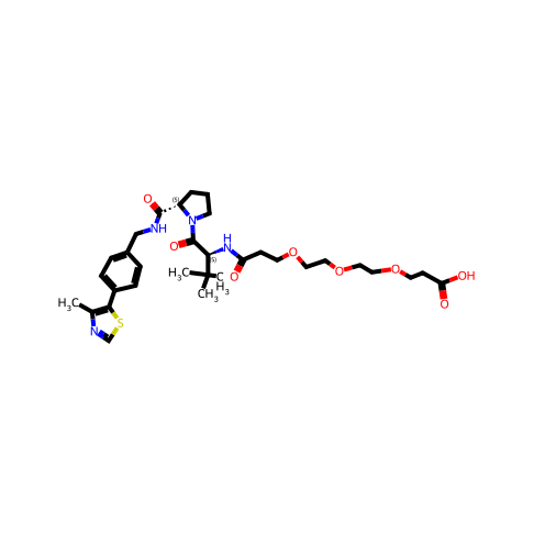 Cc1ncsc1-c1ccc(CNC(=O)[C@@H]2CCCN2C(=O)[C@@H](NC(=O)CCOCCOCCOCCC(=O)O)C(C)(C)C)cc1